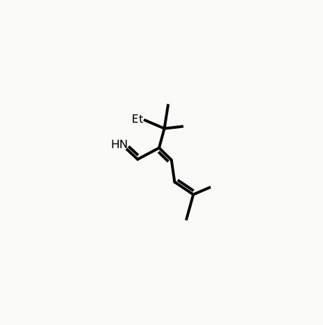 CCC(C)(C)/C(C=N)=C/C=C(C)C